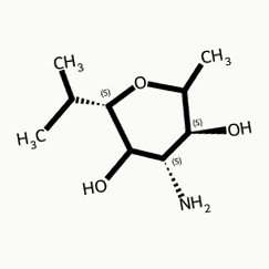 CC(C)[C@@H]1OC(C)[C@@H](O)[C@H](N)C1O